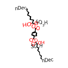 CCCCCCCCCCCCCCCCCC(O)C(OC(=O)c1ccc(C(=O)OC(OS(=O)(=O)O)C(O)CCCCCCCCCCCCCCCCC)cc1)OS(=O)(=O)O